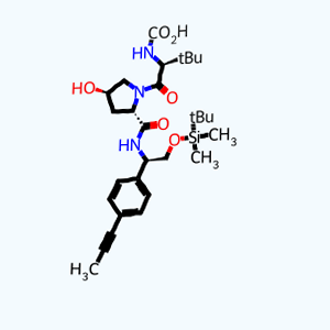 CC#Cc1ccc([C@H](CO[Si](C)(C)C(C)(C)C)NC(=O)[C@@H]2C[C@@H](O)CN2C(=O)[C@@H](NC(=O)O)C(C)(C)C)cc1